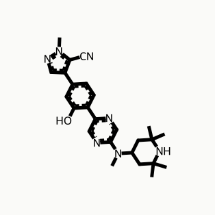 CN(c1cnc(-c2ccc(-c3cnn(C)c3C#N)cc2O)cn1)C1CC(C)(C)NC(C)(C)C1